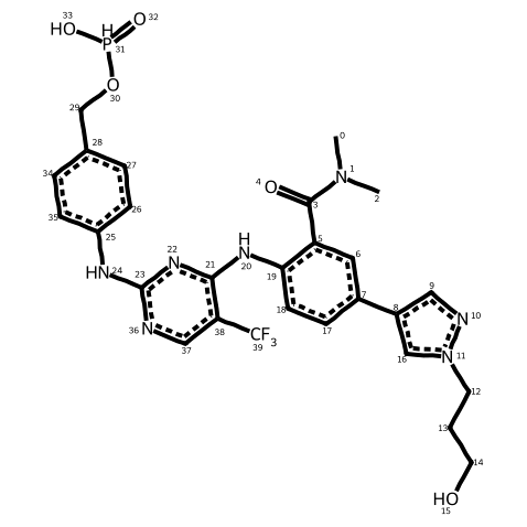 CN(C)C(=O)c1cc(-c2cnn(CCCO)c2)ccc1Nc1nc(Nc2ccc(CO[PH](=O)O)cc2)ncc1C(F)(F)F